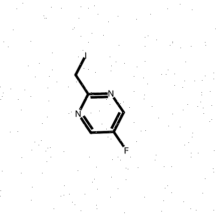 Fc1cnc(CI)nc1